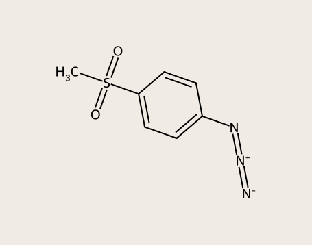 CS(=O)(=O)c1ccc(N=[N+]=[N-])cc1